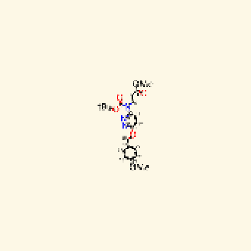 COC(=O)CCN(C(=O)OC(C)(C)C)c1ccc(OCc2ccc(OC)cc2)nn1